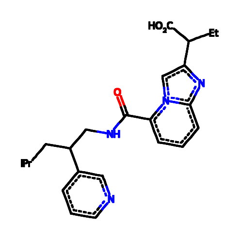 CCC(C(=O)O)c1cn2c(C(=O)NCC(CC(C)C)c3cccnc3)cccc2n1